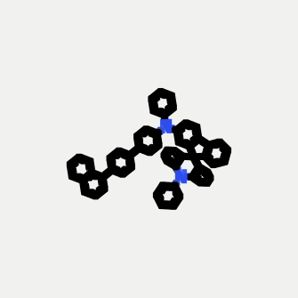 c1ccc(N(c2ccc(-c3ccc(-c4cccc5ccccc45)cc3)cc2)c2ccc3c(c2)C2(c4ccccc4-3)c3ccccc3N(c3ccccc3)c3ccccc32)cc1